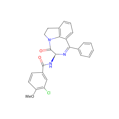 COc1ccc(C(=O)N[C@@H]2N=C(c3ccccc3)c3cccc4c3N(CC4)C2=O)cc1Cl